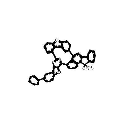 CC1(C)c2ccccc2-c2cc(-c3ccc4oc5cccc(-c6nc(-c7ccccc7)c7oc8ccc(-c9ccccc9)cc8c7n6)c5c4c3)ccc21